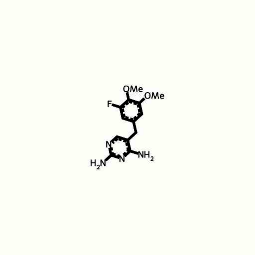 COc1cc(Cc2cnc(N)nc2N)cc(F)c1OC